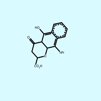 CCCC1=c2ccccc2=C(O)C2C(=O)CC(C(=O)O)OC12